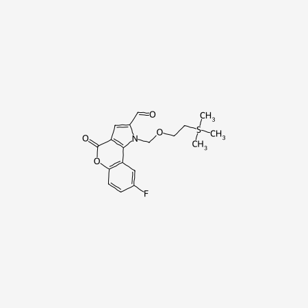 CS(C)(C)CCOCn1c(C=O)cc2c(=O)oc3ccc(F)cc3c21